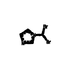 BrC(Br)n1ccnc1